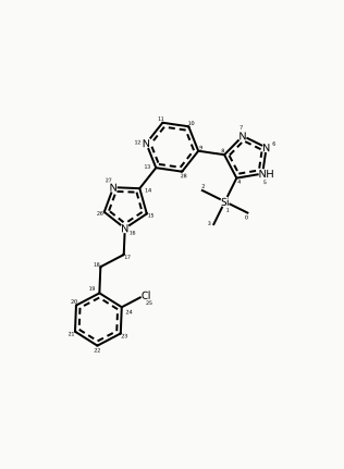 C[Si](C)(C)c1[nH]nnc1-c1ccnc(-c2cn(CCc3ccccc3Cl)cn2)c1